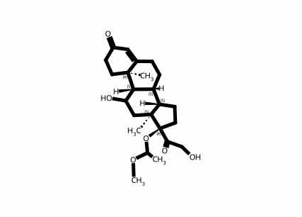 COC(C)O[C@]1(C(=O)CO)CC[C@H]2[C@@H]3CCC4=CC(=O)CC[C@]4(C)[C@H]3C(O)C[C@@]21C